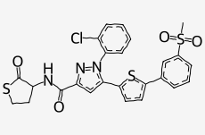 CS(=O)(=O)c1cccc(-c2ccc(-c3cc(C(=O)NC4CCSC4=O)nn3-c3ccccc3Cl)s2)c1